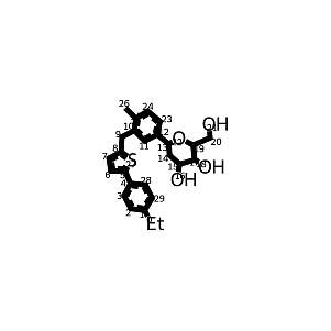 CCc1ccc(-c2ccc(Cc3cc(C4CC(O)C(O)C(CO)O4)ccc3C)s2)cc1